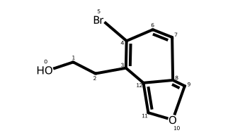 OCCc1c(Br)ccc2cocc12